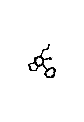 CCCc1cc2c(c(-c3ccccc3)c1Br)CC=C2